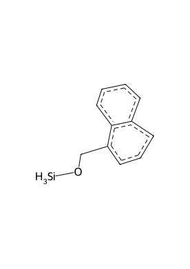 [SiH3]OCc1cccc2ccccc12